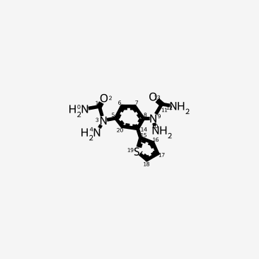 NC(=O)N(N)c1ccc(N(N)C(N)=O)c(-c2cccs2)c1